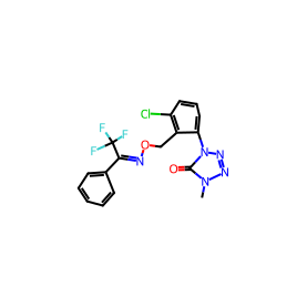 Cn1nnn(-c2cccc(Cl)c2CON=C(c2ccccc2)C(F)(F)F)c1=O